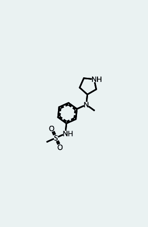 CN(c1cccc(NS(C)(=O)=O)c1)C1CCNC1